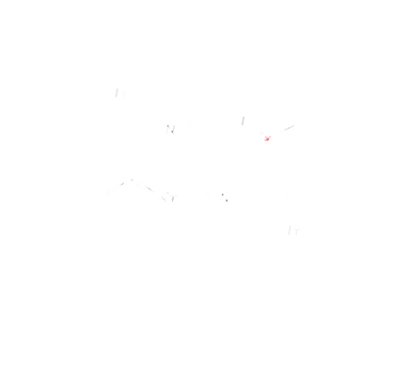 CC(C)c1cccc(C(C)C)c1/N=C(\C(=N/c1c(C(C)C)cccc1C(C)C)c1ccccc1)c1ccccc1